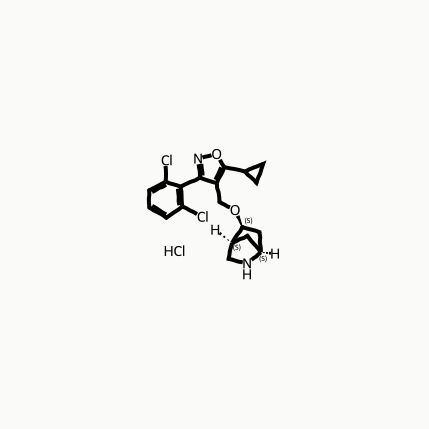 Cl.Clc1cccc(Cl)c1-c1noc(C2CC2)c1CO[C@H]1C[C@@H]2C[C@H]1CN2